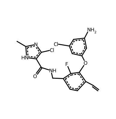 C=Cc1ccc(CNC(=O)c2[nH]c(C)nc2Cl)c(F)c1Oc1cc(N)cc(Cl)c1